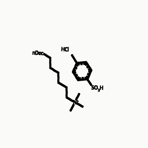 CCCCCCCCCCCCCCCC[N+](C)(C)C.Cc1ccc(S(=O)(=O)O)cc1.Cl